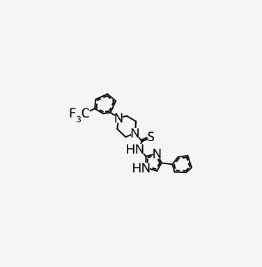 FC(F)(F)c1cccc(N2CCN(C(=S)Nc3nc(-c4ccccc4)c[nH]3)CC2)c1